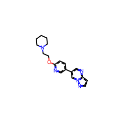 c1cc2ncc(-c3ccc(OCCN4CCCCC4)nc3)cn2n1